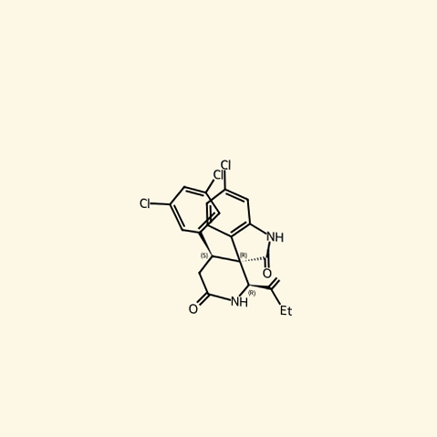 C=C(CC)[C@H]1NC(=O)C[C@@H](c2cc(Cl)cc(Cl)c2)[C@]12C(=O)Nc1cc(Cl)ccc12